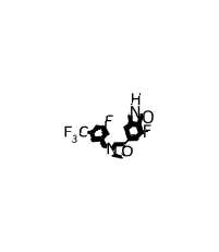 O=C1NCc2cc([C@@H]3CN(Cc4cc(F)cc(C(F)(F)F)c4)CCO3)cc(F)c21